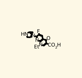 CCn1cc(C(=O)O)c(=O)c2cc(F)c(N3CC4CC3CN4)nc21